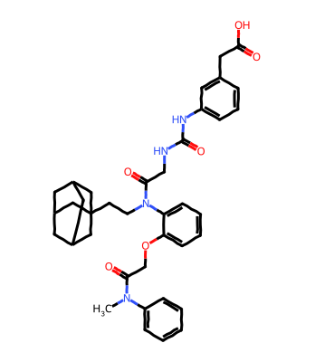 CN(C(=O)COc1ccccc1N(CCC12CC3CC(CC(C3)C1)C2)C(=O)CNC(=O)Nc1cccc(CC(=O)O)c1)c1ccccc1